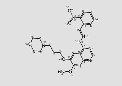 COc1cc2ncnc(NN=Cc3ccccc3[N+](=O)[O-])c2cc1OCCCN1CCOCC1